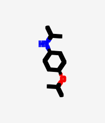 CC(C)N[C@H]1CC[C@H](OC(C)C)CC1